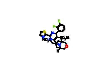 CCOC(=O)C1=C(CN2[C@@H]3COC[C@H]2CC(CC(=O)O)C3)NC(c2nccs2)=N[C@H]1c1cccc(F)c1F